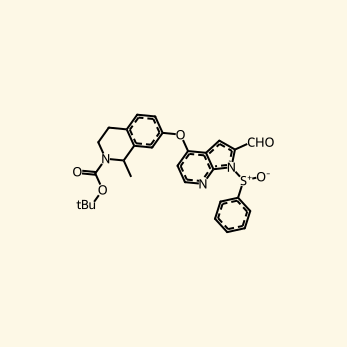 CC1c2cc(Oc3ccnc4c3cc(C=O)n4[S+]([O-])c3ccccc3)ccc2CCN1C(=O)OC(C)(C)C